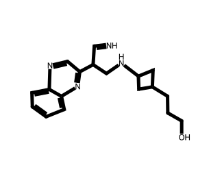 N=CC(CNC1CC(CCCO)C1)c1cnc2ccccc2n1